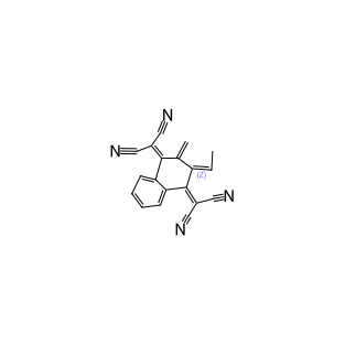 C=c1c(=C(C#N)C#N)c2ccccc2c(=C(C#N)C#N)/c1=C/C